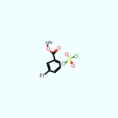 CCCOC(=O)c1cccc(CC)c1.O=S(=O)(Cl)Cl